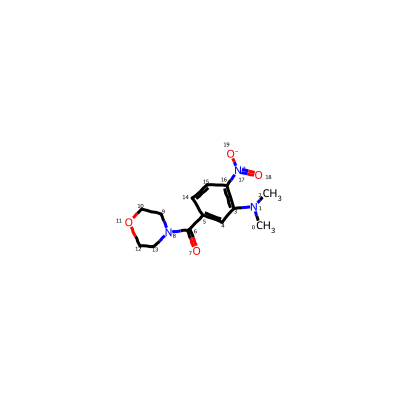 CN(C)c1cc(C(=O)N2CCOCC2)ccc1[N+](=O)[O-]